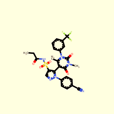 CCC(=O)NS(=O)(=O)c1cnn(-c2ccc(C#N)cc2)c1-c1c(C)n(-c2cccc(C(F)(F)F)c2)c(=O)n(C)c1=O